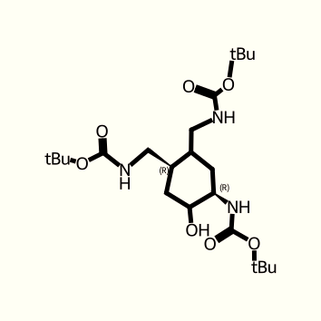 CC(C)(C)OC(=O)NCC1C[C@@H](NC(=O)OC(C)(C)C)C(O)C[C@H]1CNC(=O)OC(C)(C)C